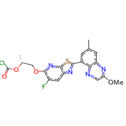 COc1cnc2c(-c3nc4cc(F)c(OC[C@@H](C)OC(=O)Cl)nc4s3)cc(C)cc2n1